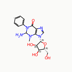 CN1c2c(ncn2[C@@H]2O[C@H](CO)[C@@H](O)[C@H]2O)C(=O)N(c2cc[c]cc2)C1N